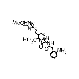 COCc1nc(SCC2=C(C(=O)O)N3C(=O)C(NC(=O)Cc4ccccc4N)[C@H]3SC2)n[nH]1